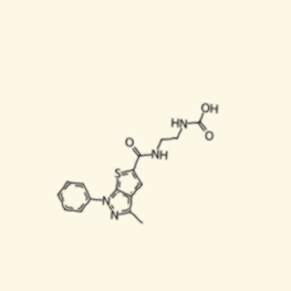 Cc1nn(-c2ccccc2)c2sc(C(=O)NCCNC(=O)O)cc12